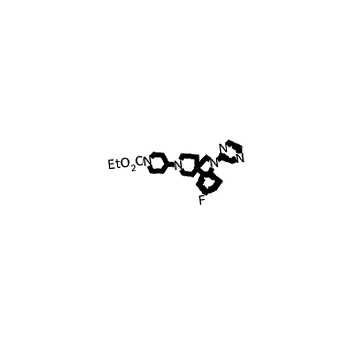 CCOC(=O)N1CCC(N2CCC3(CC2)CN(c2cnccn2)c2ccc(F)cc23)CC1